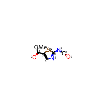 COC(=O)c1cnc(N=C=O)s1